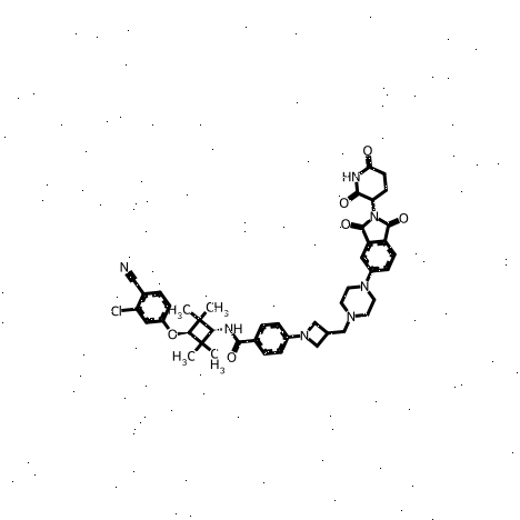 CC1(C)[C@H](NC(=O)c2ccc(N3CC(CN4CCN(c5ccc6c(c5)C(=O)N(C5CCC(=O)NC5=O)C6=O)CC4)C3)cc2)C(C)(C)[C@H]1Oc1ccc(C#N)c(Cl)c1